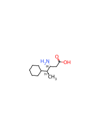 C[C@@H](C1CCCCC1)[C@H](N)CC(=O)O